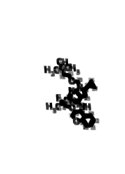 CC(C)(F)CO[C@H]1COc2ccccc2[C@@H]1NC1=NC=NC2C1C=C(C1CC1)N2COCC[Si](C)(C)C